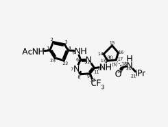 CC(=O)Nc1ccc(Nc2ncc(C(F)(F)F)c(N[C@@H]3CCC[C@@H]3C(=O)NC(C)C)n2)cc1